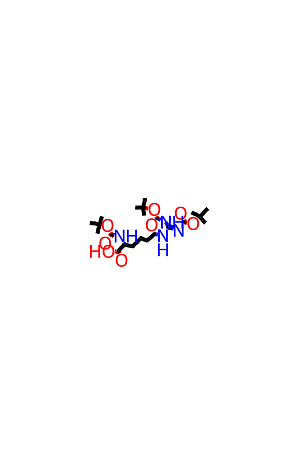 CC(C)(C)OC(=O)N=C(NCCCCC(NC(=O)OC(C)(C)C)C(=O)O)NC(=O)OC(C)(C)C